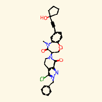 CN1C(=O)C(N2CCc3c(nn(Cc4ccccc4)c3Cl)C2=O)COc2ccc(C#CC3(O)CCCC3)cc21